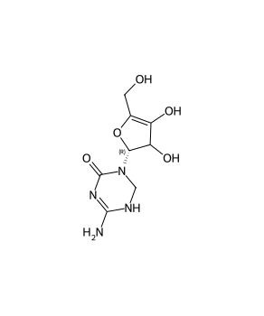 NC1=NC(=O)N([C@@H]2OC(CO)=C(O)C2O)CN1